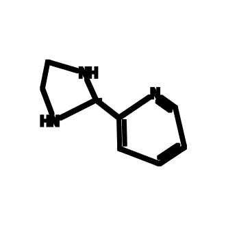 c1ccc([C]2NCCN2)nc1